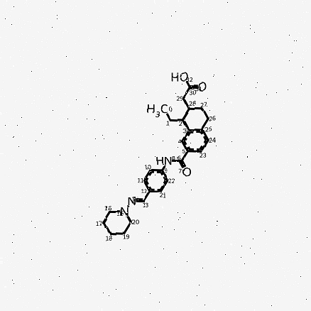 CCC1c2cc(C(=O)Nc3ccc(C=NN4CCCCC4)cc3)ccc2CCC1CC(=O)O